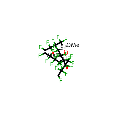 C[O][Sn]([O][Sn]([O]C)([C](F)(F)C(F)(F)C(F)(F)CF)[C](F)(F)C(F)(F)C(F)(F)CF)([C](F)(F)C(F)(F)C(F)(F)CF)[C](F)(F)C(F)(F)C(F)(F)CF